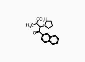 CC(C(=O)O)C(C(=O)c1ccc2ccccc2c1)N1CCCC1